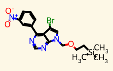 C[Si](C)(C)CCOCn1cc(Br)c2c(-c3cccc([N+](=O)[O-])c3)ncnc21